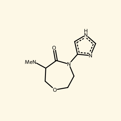 CNC1COCCN(c2c[nH]cn2)C1=O